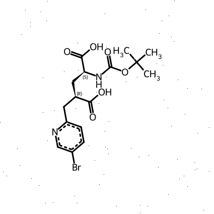 CC(C)(C)OC(=O)N[C@@H](C[C@H](Cc1ccc(Br)cn1)C(=O)O)C(=O)O